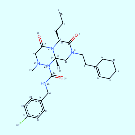 CC(=O)CC[C@H]1C(=O)N(CCC2=CCCCC2)C[C@H]2N1C(=O)CN(C)N2C(=O)NCc1ccc(F)cc1